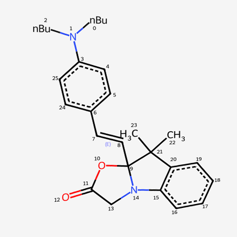 CCCCN(CCCC)c1ccc(/C=C/C23OC(=O)CN2c2ccccc2C3(C)C)cc1